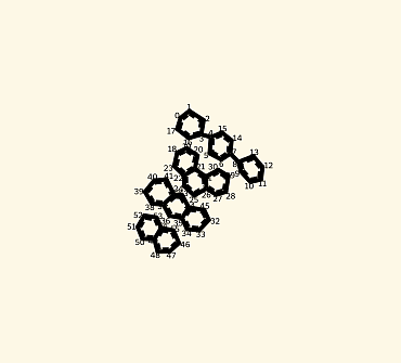 c1ccc(-c2ccc(-c3ccccc3)cc2)cc1.c1ccc2c(c1)ccc1ccccc12.c1ccc2cc3ccccc3cc2c1.c1ccc2ccccc2c1